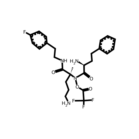 C[C@](CCCN)(C(=O)NCCc1ccc(F)cc1)N(OC(=O)C(F)(F)F)C(=O)[C@@H](N)CCc1ccccc1